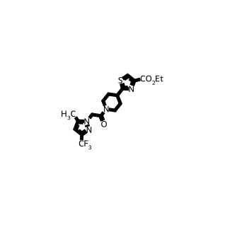 CCOC(=O)c1csc(C2CCN(C(=O)Cn3nc(C(F)(F)F)cc3C)CC2)n1